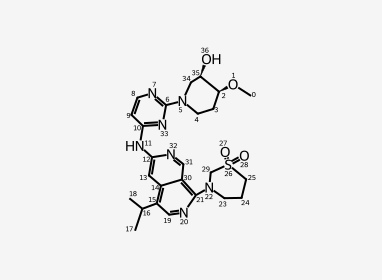 CO[C@H]1CCN(c2nccc(Nc3cc4c(C(C)C)cnc(N5CCCS(=O)(=O)C5)c4cn3)n2)C[C@H]1O